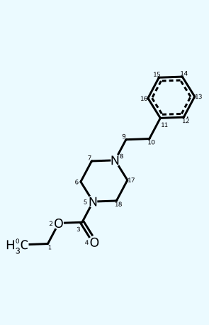 CCOC(=O)N1CCN(CCc2[c]cccc2)CC1